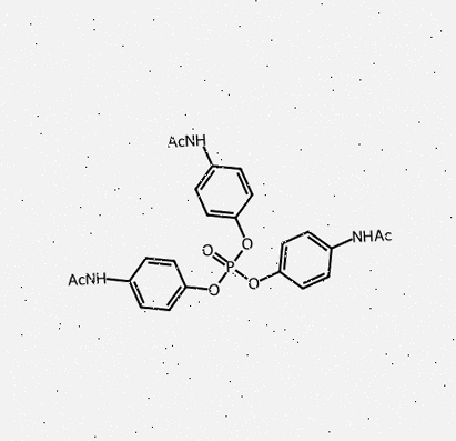 CC(=O)Nc1ccc(OP(=O)(Oc2ccc(NC(C)=O)cc2)Oc2ccc(NC(C)=O)cc2)cc1